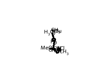 COC(=O)c1nc(N2CCCc3c2nnc(Cl)c3C)sc1CCCOc1ccc(C#CCO[Si](C)(C)C(C)(C)C)cc1F